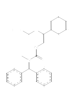 CN(C(=O)NCC(OCC(=O)O)C1CCCCC1)C(c1ccccc1)c1ccccc1